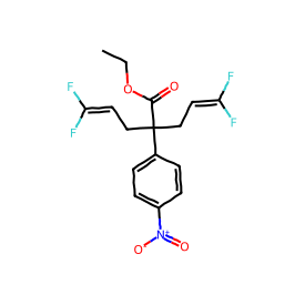 CCOC(=O)C(CC=C(F)F)(CC=C(F)F)c1ccc([N+](=O)[O-])cc1